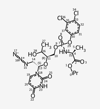 CC(C)OC(=O)[C@H](C)NP(=O)(OC[C@@H](O[C@@H](CN=[N+]=[N-])n1ccc(=O)[nH]c1=O)C(C)O)Oc1ccc(Cl)c(Cl)c1